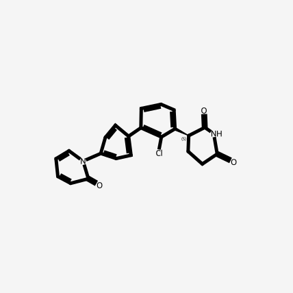 O=C1CC[C@@H](c2cccc(-c3ccc(-n4ccccc4=O)cc3)c2Cl)C(=O)N1